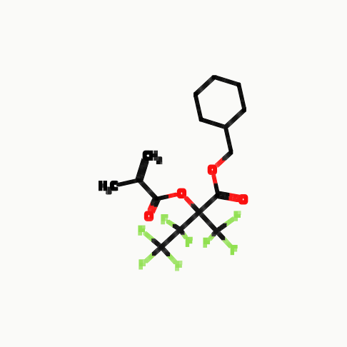 C=C(C)C(=O)OC(C(=O)OCC1CCCCC1)(C(F)(F)F)C(F)(F)C(F)(F)F